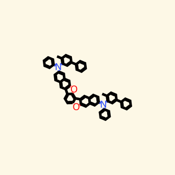 Cc1ccc(-c2ccccc2)cc1N(c1ccccc1)c1ccc2cc3c(cc2c1)oc1c3ccc2oc3cc4cc(N(c5ccccc5)c5cc(-c6ccccc6)ccc5C)ccc4cc3c21